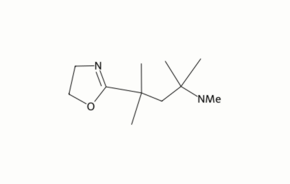 CNC(C)(C)CC(C)(C)C1=NCCO1